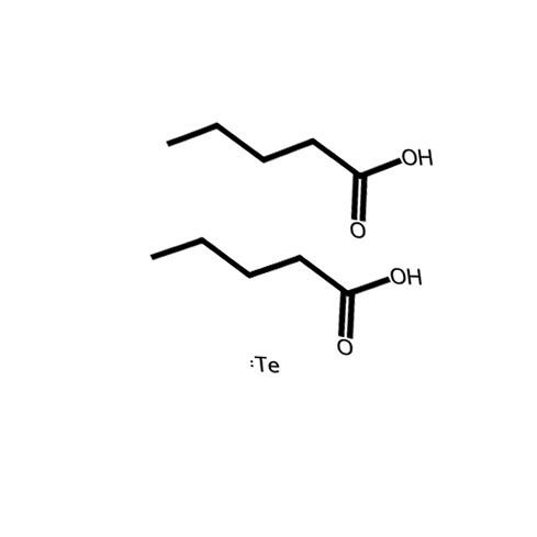 CCCCC(=O)O.CCCCC(=O)O.[Te]